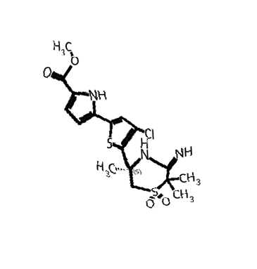 COC(=O)c1ccc(-c2cc(Cl)c([C@]3(C)CS(=O)(=O)C(C)(C)C(=N)N3)s2)[nH]1